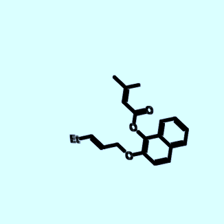 CCC=CCOc1ccc2ccccc2c1OC(=O)C=C(C)C